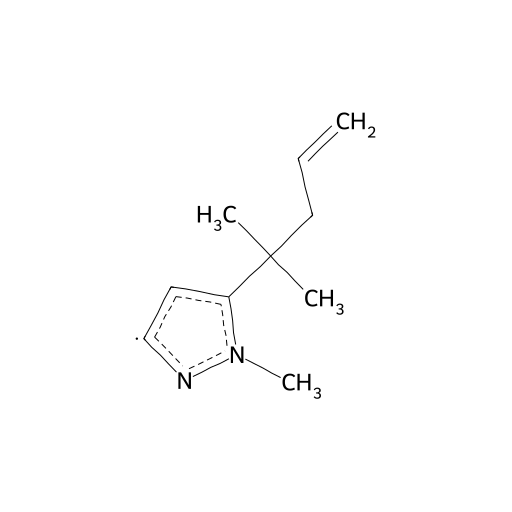 C=CCC(C)(C)c1c[c]nn1C